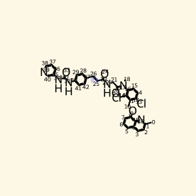 Cc1ccc2cccc(OCc3c(Cl)ccc(N(C)C(=O)CNC(=O)/C=C/c4ccc(NC(=O)Nc5cccnc5)cc4)c3Cl)c2n1